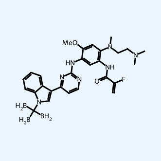 BC(B)(B)n1cc(-c2ccnc(Nc3cc(NC(=O)C(=C)F)c(N(C)CCN(C)C)cc3OC)n2)c2ccccc21